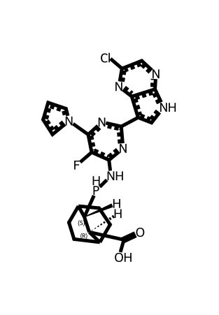 O=C(O)[C@H]1C2CCC(CC2)[C@@H]1PNc1nc(-c2c[nH]c3ncc(Cl)nc23)nc(-n2cccc2)c1F